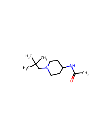 CC(=O)NC1CCN(CC(C)(C)C)CC1